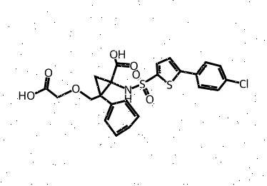 O=C(O)COCC1(c2ccccc2)CC1(NS(=O)(=O)c1ccc(-c2ccc(Cl)cc2)s1)C(=O)O